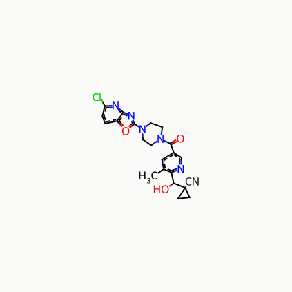 Cc1cc(C(=O)N2CCN(c3nc4nc(Cl)ccc4o3)CC2)cnc1C(O)C1(C#N)CC1